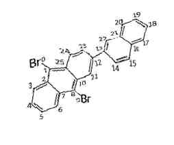 Brc1c2ccccc2c(Br)c2cc(-c3ccc4ccccc4c3)ccc12